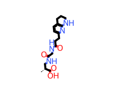 C[C@H](CNC(=O)CNC(=O)CCc1ccc2c(n1)NCCC2)C(=O)O